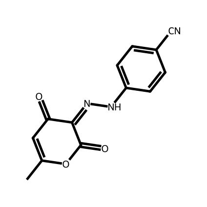 CC1=CC(=O)C(=NNc2ccc(C#N)cc2)C(=O)O1